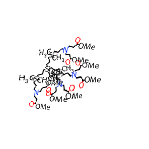 COC(=O)CCN(CCC[Si](C)(C)CCC[Si](CCC[Si](C)(C)CCCN(CCC(=O)OC)CCC(=O)OC)(CCC[Si](C)(C)CCCN(CCC(=O)OC)CCC(=O)OC)C[Si](C)(C)CCCN(CCC(=O)OC)CCC(=O)OC)CCC(=O)OC